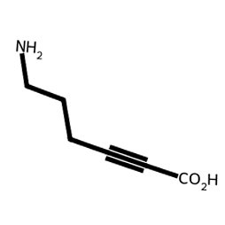 NCCCC#CC(=O)O